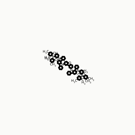 Cc1cc(C)c(B(c2cccc(-n3c4ccccc4c4c3ccc3c5ccccc5n(-c5ccc6oc7ccc(-n8c9ccccc9c9ccc%10c(c%11ccccc%11n%10-c%10cccc(B(c%11c(C)cc(C)cc%11C)c%11c(C)cc(C)cc%11C)c%10)c98)cc7c6c5)c34)c2)c2cc(C)c(C)cc2C)c(C)c1